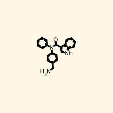 NCc1ccc(N(C(=O)c2c[nH]c3ccccc23)c2ccccc2)cc1